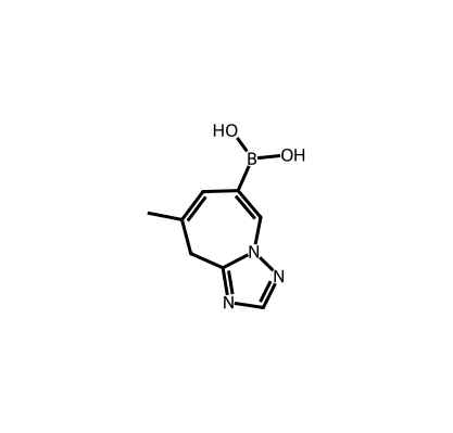 CC1=CC(B(O)O)=Cn2ncnc2C1